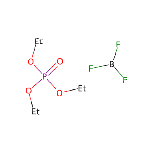 CCOP(=O)(OCC)OCC.FB(F)F